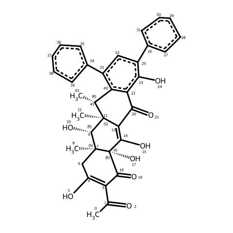 CC(=O)C1=C(O)C[C@@]2(C)[C@H](O)[C@]3(C)C(=C(O)[C@@]2(O)C1=O)C(=O)c1c(O)c(-c2ccccc2)cc(-c2ccccc2)c1[C@H]3C